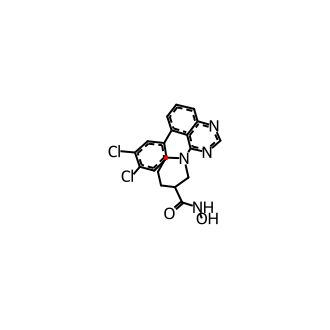 O=C(NO)C1CCCN(c2ncnc3cccc(-c4ccc(Cl)c(Cl)c4)c23)C1